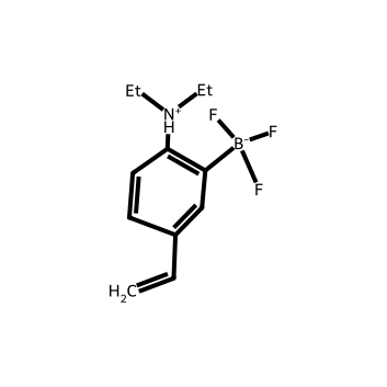 C=Cc1ccc([NH+](CC)CC)c([B-](F)(F)F)c1